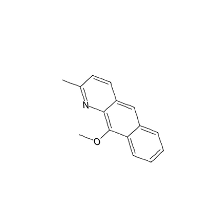 COc1c2ccccc2cc2ccc(C)nc12